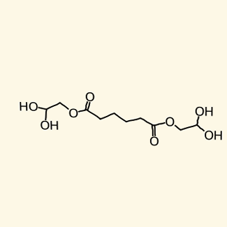 O=C(CCCCC(=O)OCC(O)O)OCC(O)O